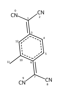 [C-]#[N+]/C(C#N)=c1/cc/c(=C(\C#N)[N+]#[C-])c(C)c1